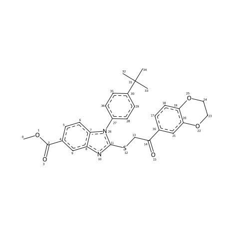 COC(=O)c1ccc2c(c1)nc(SCC(=O)c1ccc3c(c1)OCCO3)n2-c1ccc(C(C)(C)C)cc1